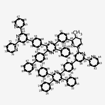 CC1CC=C(c2cc(-c3ccc(-c4nc(-c5ccccc5)c(-c5ccccc5)nc4-c4ccccc4)cc3)cc(-c3ccccn3)n2)N=C1c1cccc(-c2nc(-c3ccc(-c4cc(-c5ccccn5)nc(-c5ccccn5)c4)cc3)c(-c3ccc(-c4ccccc4)cc3)nc2-c2ccccc2)c1